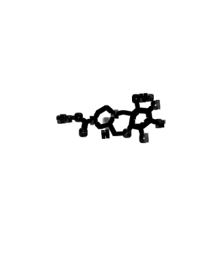 COc1c(Cl)c(Br)c(Cl)c2c1CN1CCN(C(=O)OC(C)(C)C)C[C@@H]1CO2